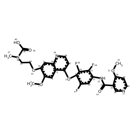 COc1cc2c(Oc3c(F)cc(NC(=O)c4cnccc4OC)c(F)c3F)ccnc2cc1OCCN(C)C(=O)O